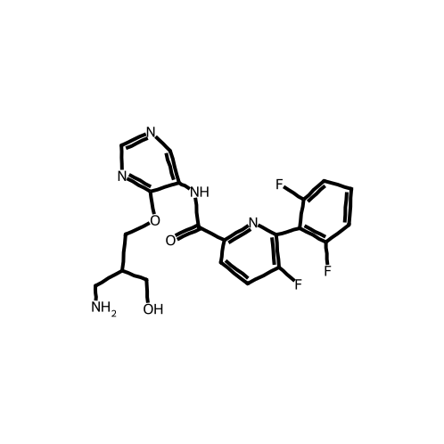 NCC(CO)COc1ncncc1NC(=O)c1ccc(F)c(-c2c(F)cccc2F)n1